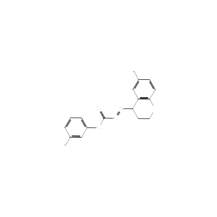 N=C(N=NC1CCSc2ccc(Cl)cc21)Nc1cccc(Cl)c1